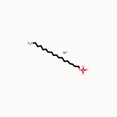 CCCCCCCCCCCCCCCCCCOP(=O)([O-])[O-].[Ni+2]